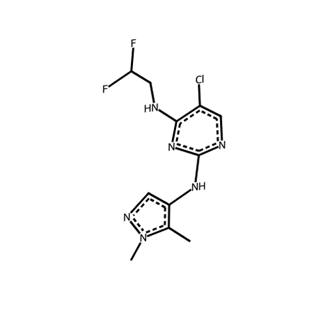 Cc1c(Nc2ncc(Cl)c(NCC(F)F)n2)cnn1C